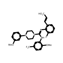 COc1cccc(N2CCN(C(=Nc3c(F)cccc3/C=C/C(=O)O)Nc3cc(C(F)(F)F)ccc3OC)CC2)c1